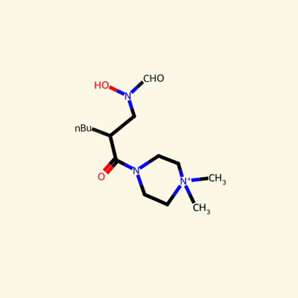 CCCCC(CN(O)C=O)C(=O)N1CC[N+](C)(C)CC1